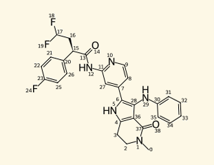 CN1CCc2[nH]c(-c3ccnc(NC(=O)[C@H](CC(F)F)c4ccc(F)cc4)c3)c(Nc3ccccc3)c2C1=O